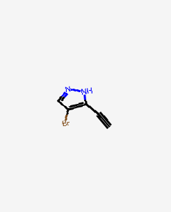 C#Cc1[nH]ncc1Br